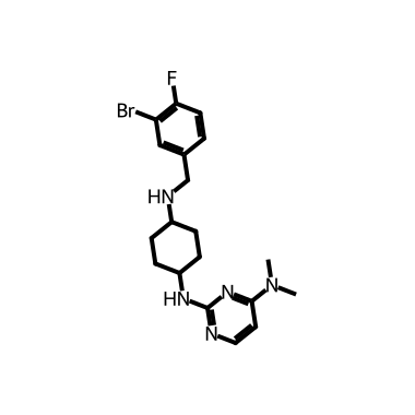 CN(C)c1ccnc(NC2CCC(NCc3ccc(F)c(Br)c3)CC2)n1